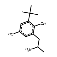 CC(N)Cc1cc(O)cc(C(C)(C)C)c1O